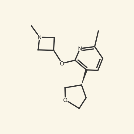 Cc1ccc([C@H]2CCOC2)c(OC2CN(C)C2)n1